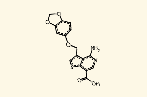 Nc1ncc(C(=O)O)c2scc(COc3ccc4c(c3)OCO4)c12